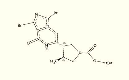 C[C@@H]1CN(C(=O)OC(C)(C)C)C[C@H]1c1cn2c(Br)nc(Br)c2c(=O)[nH]1